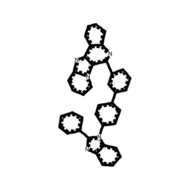 c1ccc(-c2nc3ccccc3n2-c2ccc(-c3cccc(-c4nc5ccccc5c5nc6ccccn6c45)c3)cc2)cc1